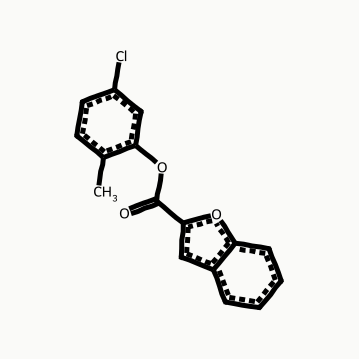 Cc1ccc(Cl)cc1OC(=O)c1cc2ccccc2o1